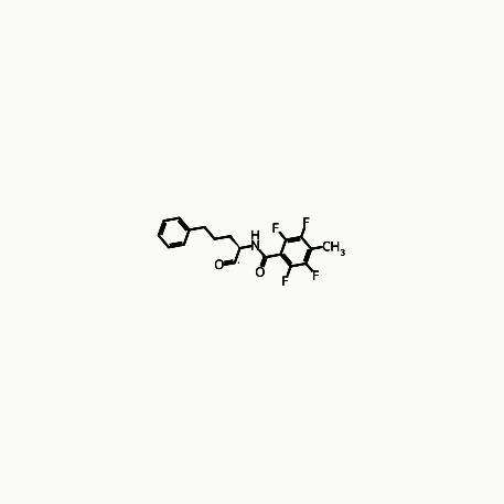 Cc1c(F)c(F)c(C(=O)N[C@@H]([C]=O)CCCc2ccccc2)c(F)c1F